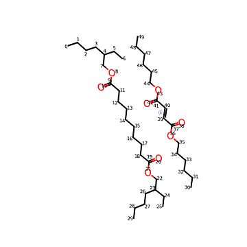 CCCCC(CC)COC(=O)CCCCCCCCC(=O)OCC(CC)CCCC.CCCCCCOC(=O)/C=C/C(=O)OCCCCCC